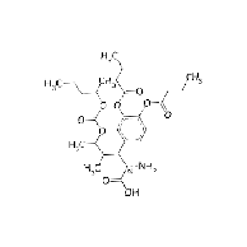 CCCC(=O)Oc1ccc(C(C(C)C(C)OC(=O)OC(C)CCC)[C@H](N)C(=O)O)cc1OC(=O)CCC